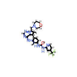 Cc1cc(-c2c(C)c(CN3CCCOCC3)n3ncnc(N)c23)ccc1NC(=O)Nc1cc(C(F)(F)F)ccn1